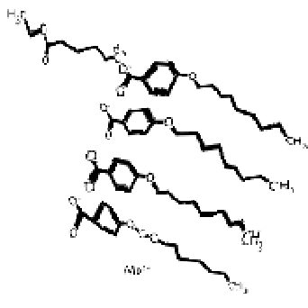 CCCCCC(=O)OCC.CCCCCCCCCOc1ccc(C(=O)[O-])cc1.CCCCCCCCCOc1ccc(C(=O)[O-])cc1.CCCCCCCCCOc1ccc(C(=O)[O-])cc1.CCCCCCCCCOc1ccc(C(=O)[O-])cc1.[Mo+4]